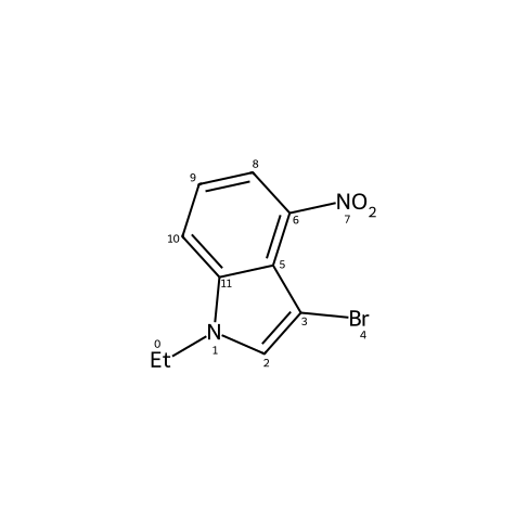 CCn1cc(Br)c2c([N+](=O)[O-])cccc21